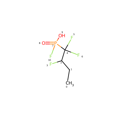 CCC(F)C(F)(F)P(=O)(O)F